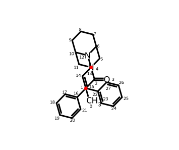 CCC(=O)N1CC2CCCC(C1)N2CC=C(c1ccccc1)c1ccccc1